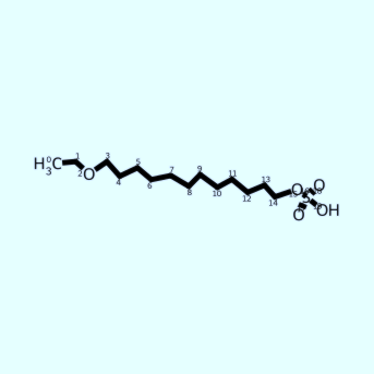 CCOCCCCCCCCCCCCOS(=O)(=O)O